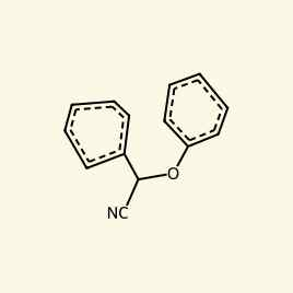 N#CC(Oc1ccccc1)c1ccccc1